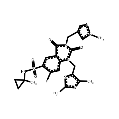 Cc1nc(C)c(Cn2c(=O)n(Cc3cnn(C)c3)c(=O)c3cc(S(=O)(=O)NC4(C)CC4)c(F)cc32)s1